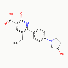 CCc1cc(C(=O)O)c(=O)[nH]c1-c1ccc(N2CCC(O)C2)cc1